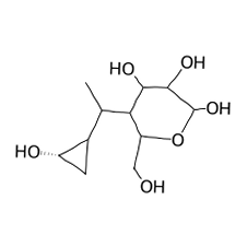 CC(C1C(CO)OC(O)C(O)C1O)C1C[C@@H]1O